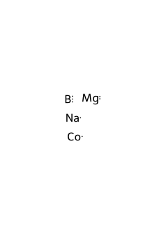 [B].[Co].[Mg].[Na]